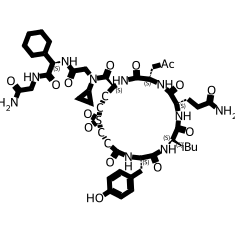 CC[C@H](C)[C@@H]1NC(=O)[C@H](Cc2ccc(O)cc2)NC(=O)CCS(=O)(=O)CC[C@@H](C(=O)N(CC(=O)N[C@H](C(=O)NCC(N)=O)C2CCCCC2)C2CC2)NC(=O)[C@H](CC(C)=O)NC(=O)[C@H](CCC(N)=O)NC1=O